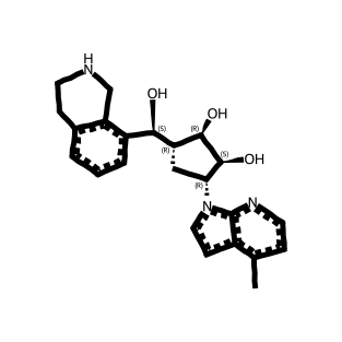 Cc1ccnc2c1ccn2[C@@H]1C[C@H]([C@H](O)c2cccc3c2CNCC3)[C@@H](O)[C@H]1O